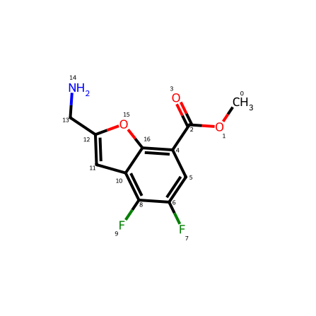 COC(=O)c1cc(F)c(F)c2cc(CN)oc12